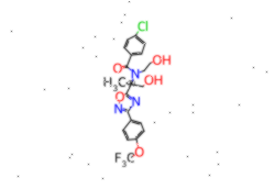 C[C@@](CO)(c1nc(-c2ccc(OC(F)(F)F)cc2)no1)N(CCO)C(=O)c1ccc(Cl)cc1